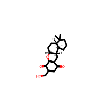 CC1(C)CCC[C@]2(C)[C@@H]1CC[C@@]1(C)OC3=C(C[C@@H]21)C(=O)C=C(CO)C3=O